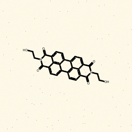 O=C1c2ccc3c4ccc5c6c(ccc(c7ccc(c2c37)C(=O)N1CCO)c64)C(=O)N(CCO)C5=O